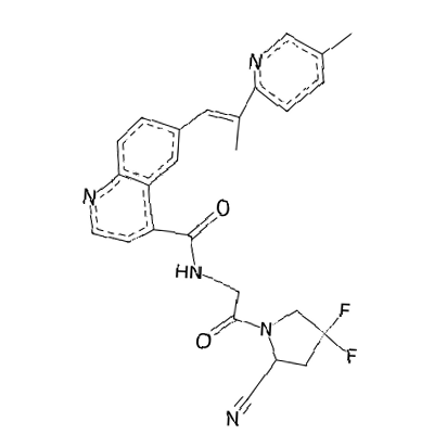 CC(=Cc1ccc2nccc(C(=O)NCC(=O)N3CC(F)(F)CC3C#N)c2c1)c1ccc(C)cn1